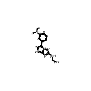 CC(C)CNc1nn2c(-c3cccc(N(C)C)c3)cnc2s1